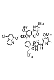 CC(C)Oc1cc(-n2nc(C(C)(C)C)oc2=O)c(Cl)cc1Cl.COc1nc(C)nc(NC(=O)NS(=O)(=O)c2ccccc2CCC(F)(F)F)n1.O=C(O)COc1ccc(Cl)c2cccnc12